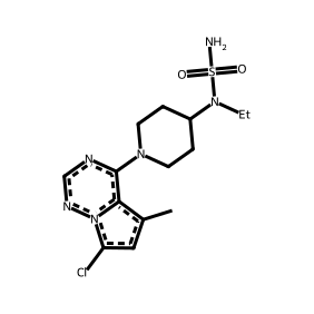 CCN(C1CCN(c2ncnn3c(Cl)cc(C)c23)CC1)S(N)(=O)=O